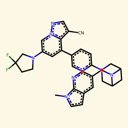 Cn1ccc2cc(CN3C4CC3CN(c3ccc(-c5cc(N6CCC(F)(F)C6)cn6ncc(C#N)c56)cn3)C4)cnc21